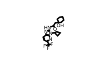 O=C(CC1(O)CCCCC1)Nc1nc2ccc(C(F)(F)F)nc2n1C1CCC1